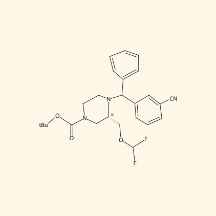 CC(C)(C)OC(=O)N1CCN(C(c2ccccc2)c2cccc(C#N)c2)[C@H](COC(F)F)C1